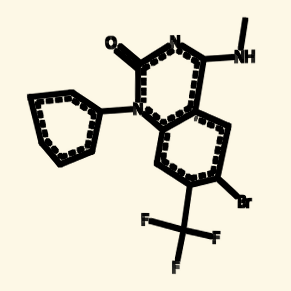 CNc1nc(=O)n(-c2ccccc2)c2cc(C(F)(F)F)c(Br)cc12